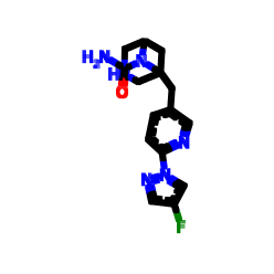 NC(=O)N1C2CNCC1(Cc1ccc(-n3cc(F)cn3)nc1)C2